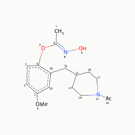 COc1ccc(OC(C)=NO)c(CC2CCN(C(C)=O)CC2)c1